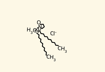 CCCCCCCCCCCC[N+](C)(CCCCCCCCCCCC)CN1CCCC1=O.[Cl-]